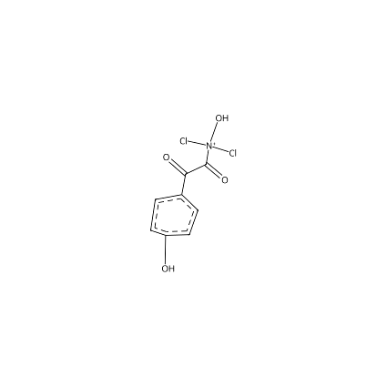 O=C(C(=O)[N+](O)(Cl)Cl)c1ccc(O)cc1